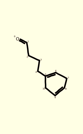 O=CCCCC1=CCC=CC1